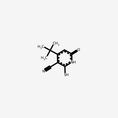 CC(C)(C)c1cc(=O)[nH]c(S)c1C#N